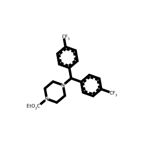 CCOC(=O)N1CCN(C(c2ccc(C(F)(F)F)cc2)c2ccc(C(F)(F)F)cc2)CC1